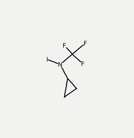 FC(F)(F)N(I)C1CC1